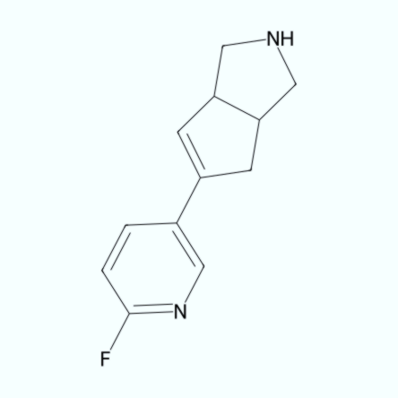 Fc1ccc(C2=CC3CNCC3C2)cn1